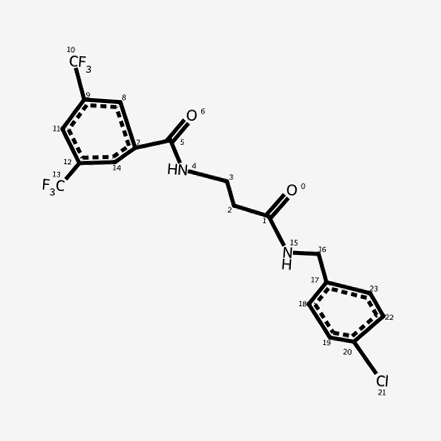 O=C(CCNC(=O)c1cc(C(F)(F)F)cc(C(F)(F)F)c1)NCc1ccc(Cl)cc1